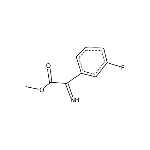 COC(=O)C(=N)c1cccc(F)c1